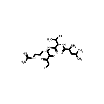 CC(C)CC(N)C(=O)N[C@H](C(=O)N[C@@H](CCCNC(=N)N)C(=O)C(=O)CCl)C(C)O